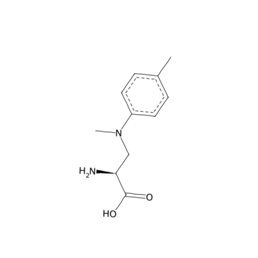 Cc1ccc(N(C)C[C@H](N)C(=O)O)cc1